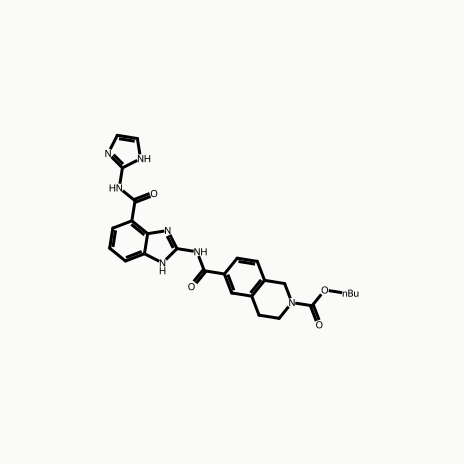 CCCCOC(=O)N1CCc2cc(C(=O)Nc3nc4c(C(=O)Nc5ncc[nH]5)cccc4[nH]3)ccc2C1